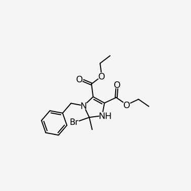 CCOC(=O)C1=C(C(=O)OCC)N(Cc2ccccc2)C(C)(Br)N1